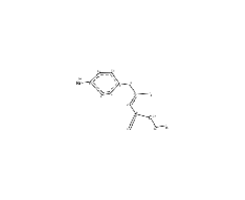 C=C(C=C(C)Cc1ccc(Br)cc1)OCC